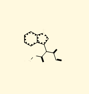 NOC(=O)C(C(=O)C=O)c1c[nH]c2ccccc12